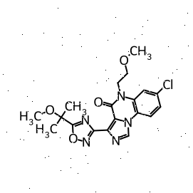 COCCn1c(=O)c2c(-c3noc(C(C)(C)OC)n3)ncn2c2ccc(Cl)cc21